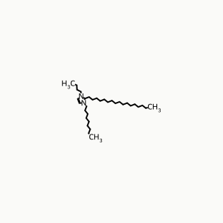 CCCCCCCCCCCCCCCCCC1N(CCCC)C=CN1CCCCCCCCC